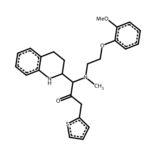 COc1ccccc1OCCN(C)C(C(=O)Cc1cccs1)C1CCc2ccccc2N1